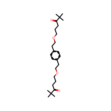 CC(C)(C)C(=O)CCCOCCc1ccc(CCOCCCC(=O)C(C)(C)C)cc1